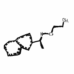 CC(=NOCCO)c1ccc2ccccc2c1